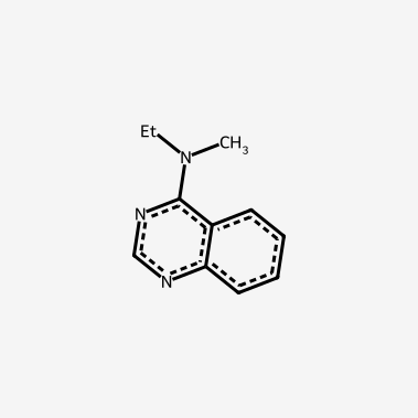 CCN(C)c1ncnc2ccccc12